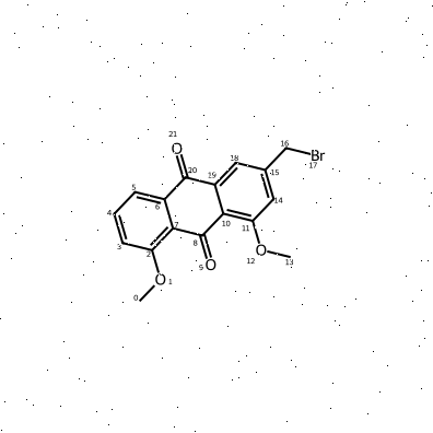 COc1cccc2c1C(=O)c1c(OC)cc(CBr)cc1C2=O